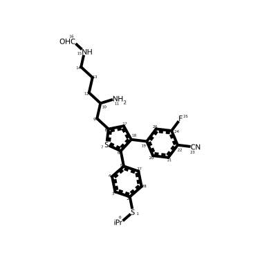 CC(C)Sc1ccc(-c2sc(CC(N)CCCNC=O)cc2-c2ccc(C#N)c(F)c2)cc1